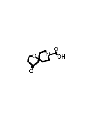 O=C1CCOC2(CCN(C(=O)O)CC2)C1